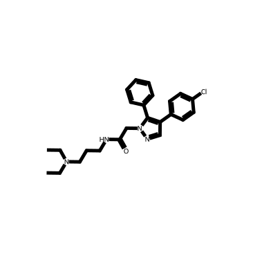 CCN(CC)CCCNC(=O)Cn1ncc(-c2ccc(Cl)cc2)c1-c1ccccc1